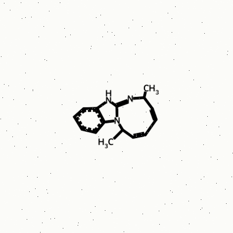 CC1/C=C\C=C/C(C)N2/C(=N\1)Nc1ccccc12